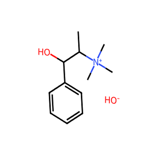 CC(C(O)c1ccccc1)[N+](C)(C)C.[OH-]